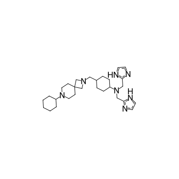 c1c[nH]c(CN(Cc2ncc[nH]2)C2CCC(CN3CC4(CCN(C5CCCCC5)CC4)C3)CC2)n1